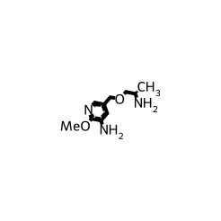 COc1ncc(COC[C@@H](C)N)cc1N